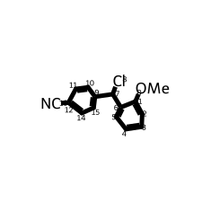 COc1ccccc1C(Cl)c1ccc(C#N)cc1